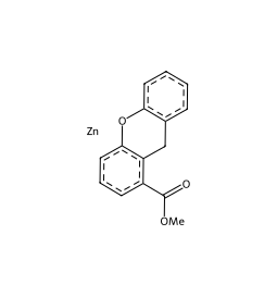 COC(=O)c1cccc2c1Cc1ccccc1O2.[Zn]